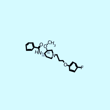 CO[C@H]1CN(CCCOc2ccc(F)cc2)CC[C@@H]1NC(=O)c1ccccc1